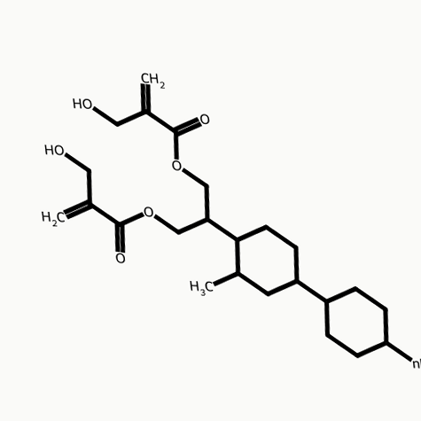 C=C(CO)C(=O)OCC(COC(=O)C(=C)CO)C1CCC(C2CCC(CCCCC)CC2)CC1C